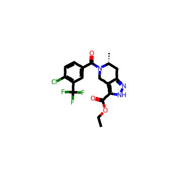 CCOC(=O)c1[nH]nc2c1CN(C(=O)c1ccc(Cl)c(C(F)(F)F)c1)[C@H](C)C2